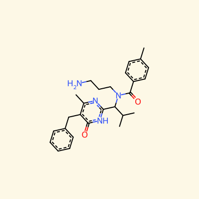 Cc1ccc(C(=O)N(CCCN)C(c2nc(C)c(Cc3ccccc3)c(=O)[nH]2)C(C)C)cc1